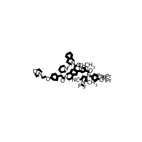 Cc1c(C(=O)N(c2ccc(O[Si](C(C)C)(C(C)C)C(C)C)cc2)c2cc(C#N)n(C(F)F)c2C)cc(-c2cc3c(cc2C(=O)N2Cc4ccccc4C[C@H]2CN2CCCCC2)CN(C(=O)Cc2ccc(OCCN4CCOCC4)cc2)CC3)n1C